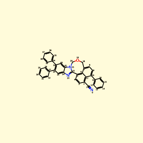 N#Cc1ccc2c3c(ccc(-c4ccccc4)c13)COCn1c-2nc2cc(-c3ccccc3)c(-c3ccccc3)cc21